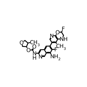 Cc1c(-c2cc3cc(NC(=O)OC4COCC4C)ncc3c(N)c2F)cnc2c1NCC(F)O2